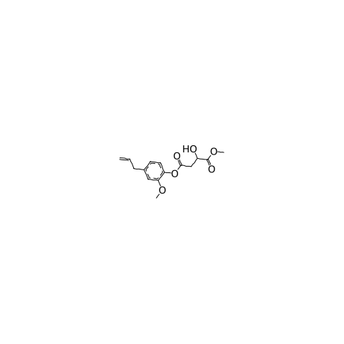 C=CCc1ccc(OC(=O)CC(O)C(=O)OC)c(OC)c1